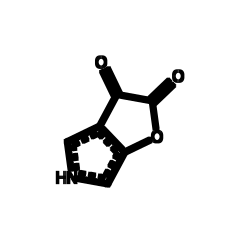 O=C1Oc2c[nH]cc2C1=O